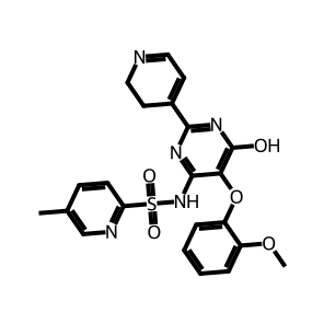 COc1ccccc1Oc1c(O)nc(C2=CC=NCC2)nc1NS(=O)(=O)c1ccc(C)cn1